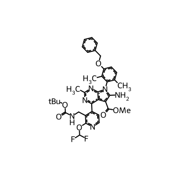 COC(=O)c1c(N)n(-c2c(C)ccc(OCc3ccccc3)c2C)c2nc(C)nc(-c3ccnc(OC(F)F)c3CNC(=O)OC(C)(C)C)c12